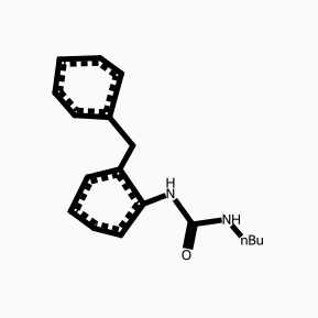 CCCCNC(=O)Nc1ccccc1Cc1ccccc1